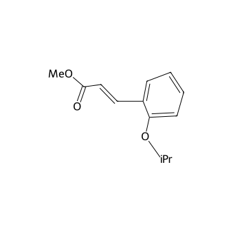 COC(=O)C=Cc1ccccc1OC(C)C